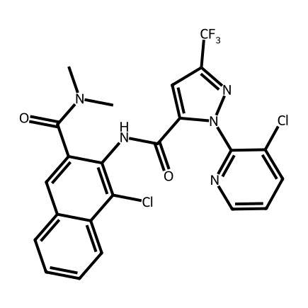 CN(C)C(=O)c1cc2ccccc2c(Cl)c1NC(=O)c1cc(C(F)(F)F)nn1-c1ncccc1Cl